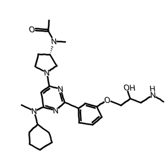 CNCC(O)COc1cccc(-c2nc(N3CC[C@H](N(C)C(C)=O)C3)cc(N(C)C3CCCCC3)n2)c1